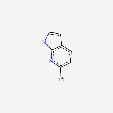 CC(C)c1ccc2c(n1)[N]C=C2